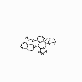 COc1ccccc1C(c1nnnn1C1C2CC3CC(C2)CC1C3)N1CCc2ccccc2C1